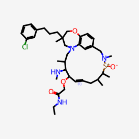 CCNC(=O)COC1/C=C/CC(C)C(C)[S+]([O-])N(C)Cc2ccc3c(c2)N(CC(C)C1NC)CC(C)(CCCc1cccc(Cl)c1)CO3